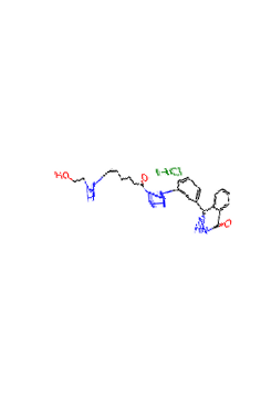 Cl.O=C(CCCCNCCO)Nc1cccc(-c2n[nH]c(=O)c3ccccc23)c1